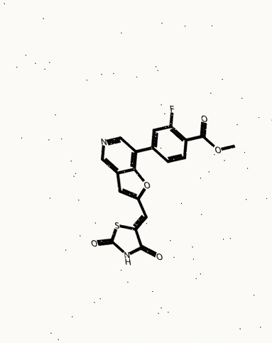 COC(=O)c1ccc(-c2cncc3cc(/C=C4\SC(=O)NC4=O)oc23)cc1F